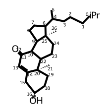 CC(C)CCCC(C)C1CCC2C3C(=O)C=C4C[C@@H](O)CC[C@]4(C)C3CC[C@]12C